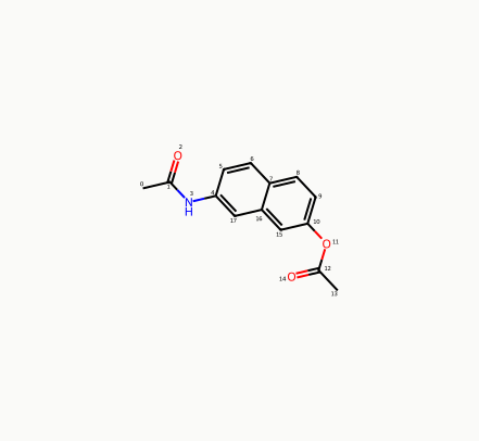 CC(=O)Nc1ccc2ccc(OC(C)=O)cc2c1